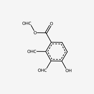 O=COC(=O)c1ccc(O)c(C=O)c1C=O